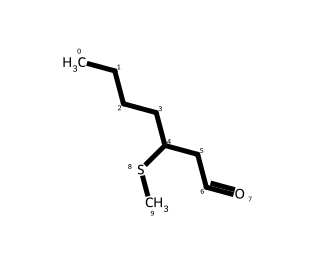 CCCCC(CC=O)SC